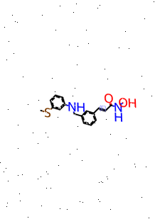 CSc1cccc(NCc2cccc(/C=C/C(=O)NO)c2)c1